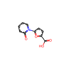 O=C(O)c1ccc(-n2ccccc2=O)o1